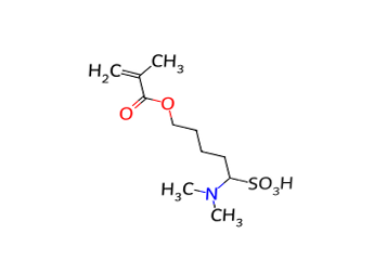 C=C(C)C(=O)OCCCCC(N(C)C)S(=O)(=O)O